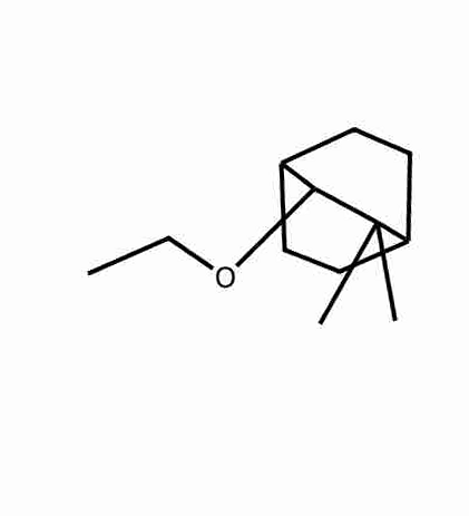 CCOC1C2CCC(CC2)C1(C)C